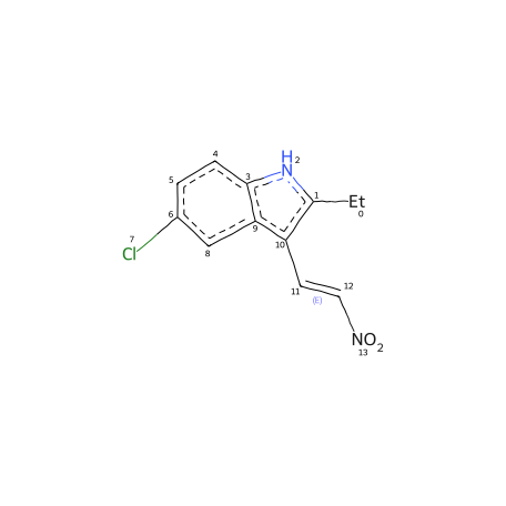 CCc1[nH]c2ccc(Cl)cc2c1/C=C/[N+](=O)[O-]